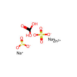 O=C(O)O.O=S(=O)([O-])[O-].O=S([O-])[O-].[Na+].[Na+].[Zn+2]